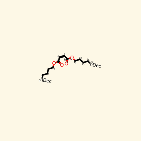 CCCCCCCCCCCCCCOC(=O)/C=C\C(=O)OCCCCCCCCCCCCCC